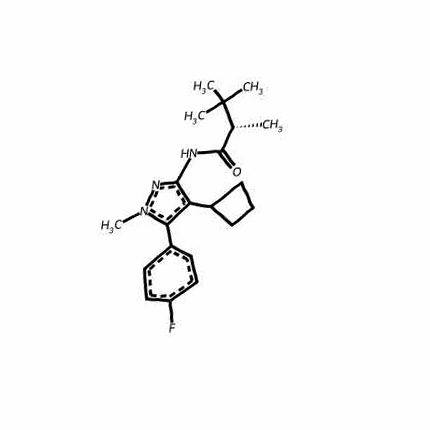 C[C@H](C(=O)Nc1nn(C)c(-c2ccc(F)cc2)c1C1CCC1)C(C)(C)C